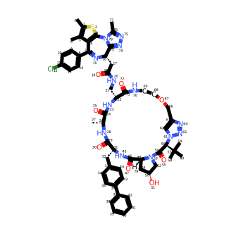 Cc1sc2c(c1C)C(c1ccc(Cl)cc1)=N[C@@H](CC(=O)NC[C@H]1NC(=O)[C@@H](C)NC(=O)[C@@H](Cc3ccc(-c4ccccc4)cc3)NC(=O)[C@@H]3C[C@@H](O)CN3C(=O)[C@H](C(C)(C)C)n3cc(nn3)COCCNC1=O)c1nnc(C)n1-2